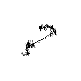 Cc1ncsc1-c1ccc(CNC(=O)C2C[C@@H](O)CN2C(=O)[C@@H](NC(=O)CCCCCOCCCCCOCCCCCC(=O)N(C)CCCn2c(CNc3cccc(C(=O)NCc4c(F)cccc4F)c3)nnc2-c2ccncn2)C(C)(C)C)cc1